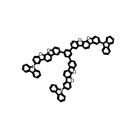 c1ccc2c(c1)-c1ccccc1C2c1ccc2oc3c(ccc4c5cc(-c6cc(-c7ccc8oc9c(ccc%10c%11cc(-n%12c%13ccccc%13c%13ccccc%13%12)ccc%11oc%109)c8c7)cc(-c7ccc8oc9c(ccc%10c%11cc(-n%12c%13ccccc%13c%13ccccc%13%12)ccc%11oc%109)c8c7)c6)ccc5oc43)c2c1